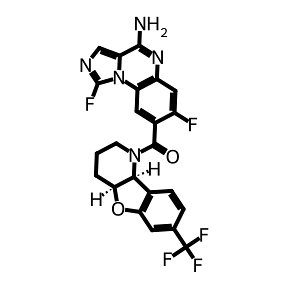 Nc1nc2cc(F)c(C(=O)N3CCC[C@@H]4Oc5cc(C(F)(F)F)ccc5[C@@H]43)cc2n2c(F)ncc12